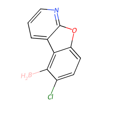 Bc1c(Cl)ccc2oc3ncccc3c12